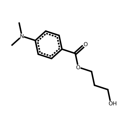 CN(C)c1ccc(C(=O)OCCCO)cc1